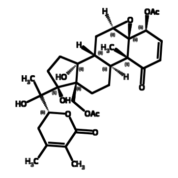 CC(=O)OC[C@]12CC[C@H]3[C@@H](C[C@H]4O[C@]45[C@@H](OC(C)=O)C=CC(=O)[C@]35C)[C@]1(O)CC[C@@]2(O)C(C)(O)[C@H]1CC(C)=C(C)C(=O)O1